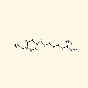 CCCCCN(C)CCCCCO[C@H]1CC[C@H](CN)CC1